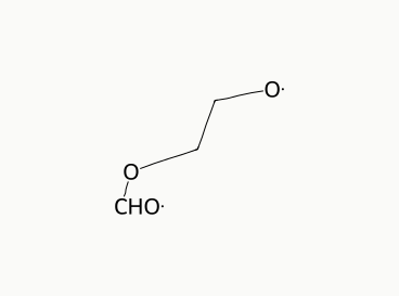 [O]CCO[C]=O